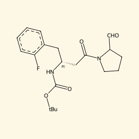 CC(C)(C)OC(=O)N[C@@H](CC(=O)N1CCCC1C=O)Cc1ccccc1F